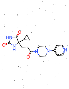 O=C1NC(=O)C(CCC(=O)N2CCN(c3ccncc3)CC2)(C2CC2)N1